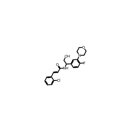 O=C(C=Cc1ccccc1Cl)NC(CO)c1ccc(F)c(N2CCOCC2)c1